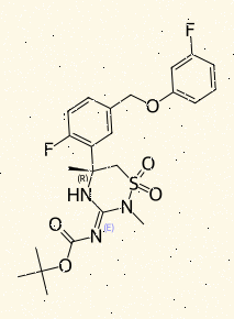 CN1/C(=N/C(=O)OC(C)(C)C)N[C@](C)(c2cc(COc3cccc(F)c3)ccc2F)CS1(=O)=O